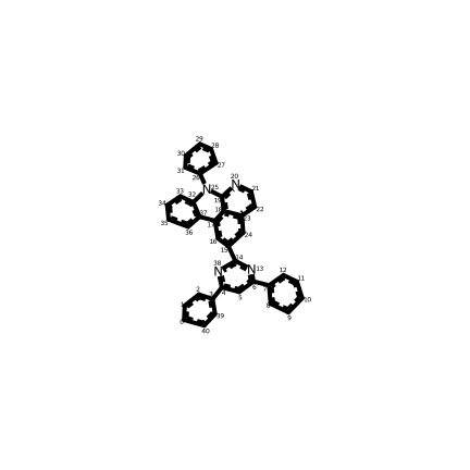 c1ccc(-c2cc(-c3ccccc3)nc(-c3cc4c5c(nccc5c3)N(c3ccccc3)c3ccccc3-4)n2)cc1